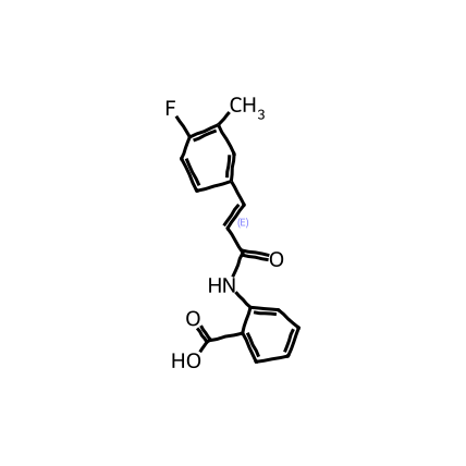 Cc1cc(/C=C/C(=O)Nc2ccccc2C(=O)O)ccc1F